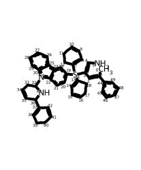 C/C(=C\C(=C/N)S(C1=CC=CCC1)(C1=CC=CCC1)c1ccc2c(c1)c1ccccc1n2C1CC=CC(C2=CCCC=C2)N1)c1ccccc1